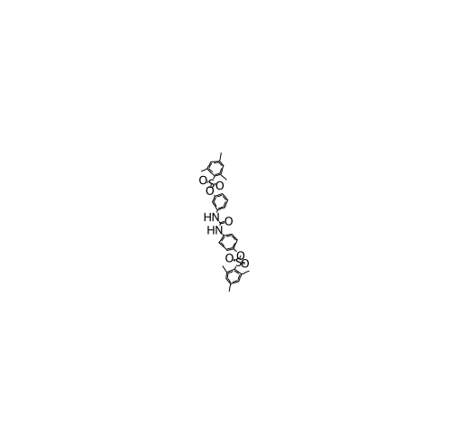 Cc1cc(C)c(S(=O)(=O)Oc2ccc(NC(=O)Nc3cccc(OS(=O)(=O)c4c(C)cc(C)cc4C)c3)cc2)c(C)c1